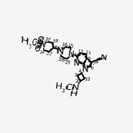 CN[C@H]1C[C@H](n2cc(C#N)c3ccc(N4CCN(C5CCN(S(C)(=O)=O)CC5)CC4)nc32)C1